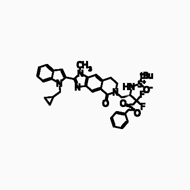 Cn1c(-c2cc3ccccc3n2CC2CC2)nc2cc3c(cc21)CCN(C[C@H](N[S+]([O-])C(C)(C)C)C(F)(F)S(=O)(=O)c1ccccc1)C3=O